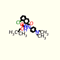 CCN(CC)c1ccc(NC(=O)[C@@]2(NC(=O)OCC(C)C)CCc3cccc(Cl)c3C2)cc1